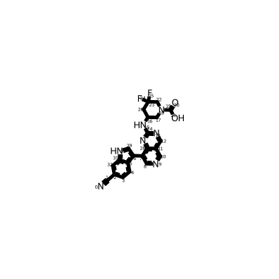 N#Cc1ccc2c(-c3cncc4cnc(NC5CN(C(=O)O)CC(F)(F)C5)nc34)c[nH]c2c1